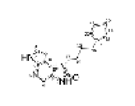 O=c1[nH]c2cnc3[nH]ccc3c2n1CCCCc1ccccc1